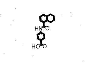 O=C(O)c1ccc(NC(=O)c2cccc3c2CCCC3)cc1